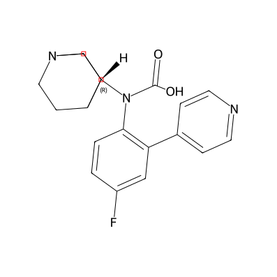 O=C(O)N(c1ccc(F)cc1-c1ccncc1)[C@H]1CN2CCC1CC2